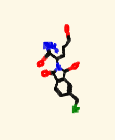 NC(=O)C(CCC=O)N1C(=O)c2ccc(CBr)cc2C1=O